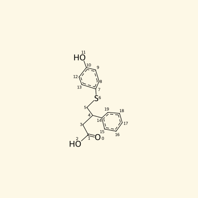 O=C(O)CC(CSc1ccc(O)cc1)c1ccccc1